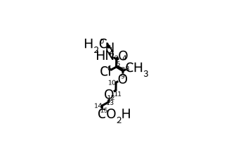 C=NNC(=O)/C(Cl)=C(\C)OCCOCCC(=O)O